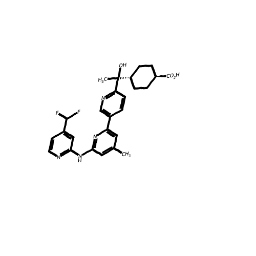 Cc1cc(Nc2cc(C(F)F)ccn2)nc(-c2ccc(C(C)(O)[C@H]3CC[C@H](C(=O)O)CC3)nc2)c1